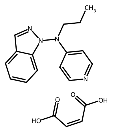 CCCN(c1ccncc1)n1ncc2ccccc21.O=C(O)/C=C\C(=O)O